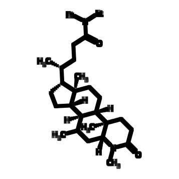 CCN(CC)C(=O)CC[C@@H](C)[C@H]1CC[C@H]2[C@@H]3C(C)C[C@H]4N(C)C(=O)CC[C@]4(C)[C@H]3CC[C@]12C